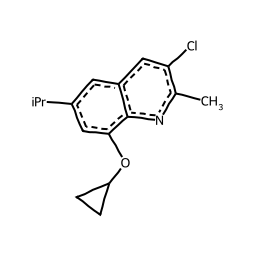 Cc1nc2c(OC3CC3)cc(C(C)C)cc2cc1Cl